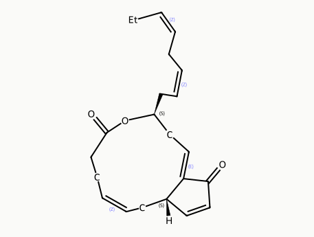 CC/C=C\C/C=C\C[C@H]1C/C=C2/C(=O)C=C[C@@H]2C/C=C\CCC(=O)O1